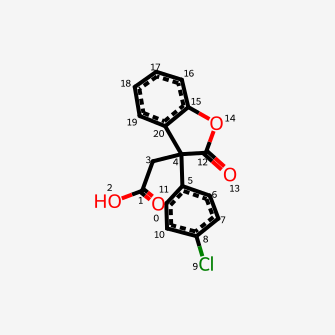 O=C(O)CC1(c2ccc(Cl)cc2)C(=O)Oc2ccccc21